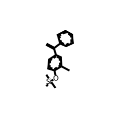 C=C(c1ccccc1)c1ccc(O[Si](C)(C)C)c(C)c1